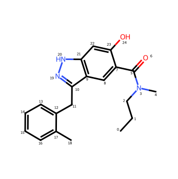 CCCN(C)C(=O)c1cc2c(Cc3ccccc3C)n[nH]c2cc1O